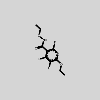 CCONC(=O)c1c(F)nc(OCC)c(F)c1F